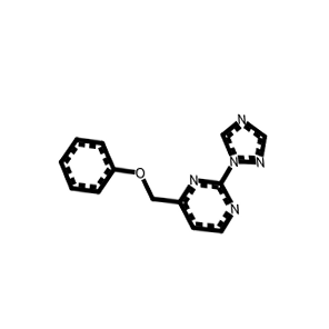 c1ccc(OCc2ccnc(-n3cncn3)n2)cc1